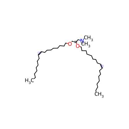 CCCCCCCC/C=C\CCCCCCCCOC[C@@H](CN(C)C)OCCCCCCCC/C=C\CCCCCCCC